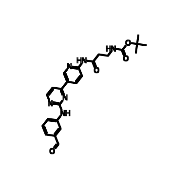 CC(C)(C)OC(=O)NCCC(=O)Nc1ccc(-c2ccnc(Nc3cccc(C=O)c3)n2)cn1